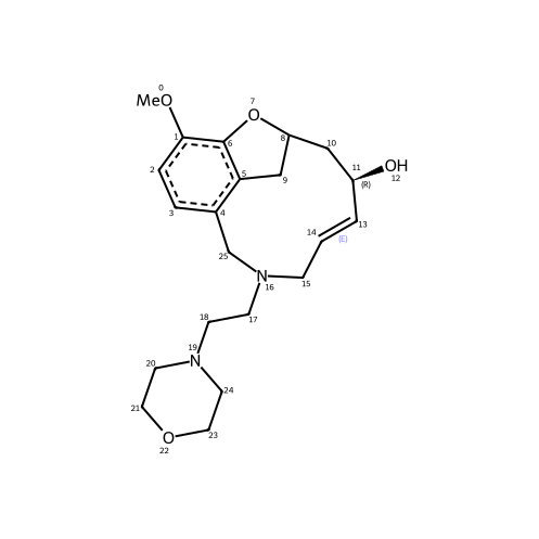 COc1ccc2c3c1OC(C3)C[C@@H](O)/C=C/CN(CCN1CCOCC1)C2